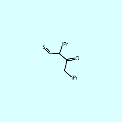 CC(C)CC(=O)C(C=S)C(C)C